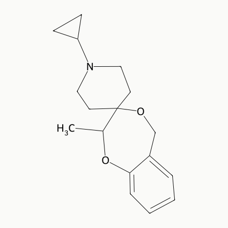 CC1Oc2ccccc2COC12CCN(C1CC1)CC2